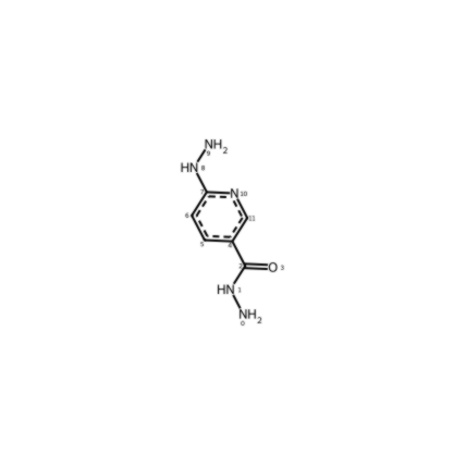 NNC(=O)c1ccc(NN)nc1